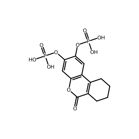 O=c1oc2cc(OP(=O)(O)O)c(OP(=O)(O)O)cc2c2c1CCCC2